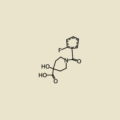 O=C(c1ccccc1F)N1CCC(O)(C(=O)O)CC1